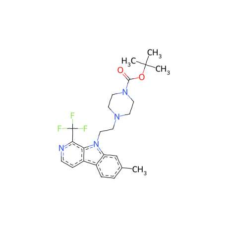 Cc1ccc2c3ccnc(C(F)(F)F)c3n(CCN3CCN(C(=O)OC(C)(C)C)CC3)c2c1